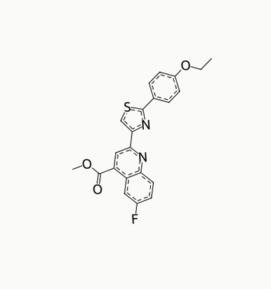 CCOc1ccc(-c2nc(-c3cc(C(=O)OC)c4cc(F)ccc4n3)cs2)cc1